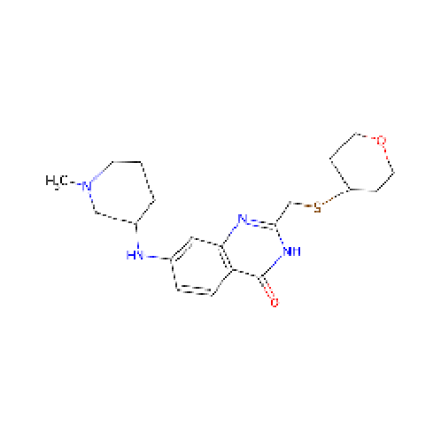 CN1CCCC(Nc2ccc3c(=O)[nH]c(CSC4CCOCC4)nc3c2)C1